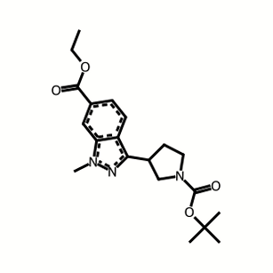 CCOC(=O)c1ccc2c(C3CCN(C(=O)OC(C)(C)C)C3)nn(C)c2c1